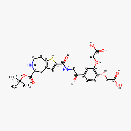 CC(C)(C)OC(=O)C1Cc2cc(C(=O)NCC(=O)c3ccc(OCC(=O)O)c(OCC(=O)O)c3)sc2CCN1